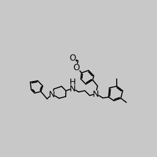 Cc1cc(C)cc(CN(CCCNC2CCN(Cc3ccccc3)CC2)Cc2ccc(OC=O)cc2)c1